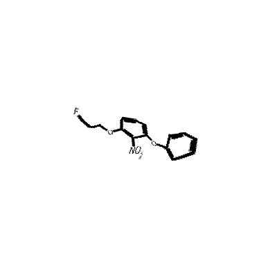 O=[N+]([O-])c1c(OCCF)cccc1Oc1ccccc1